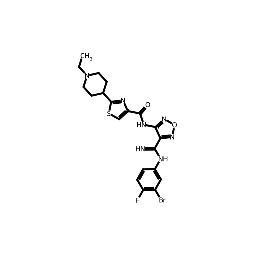 CCN1CCC(c2nc(C(=O)Nc3nonc3C(=N)Nc3ccc(F)c(Br)c3)cs2)CC1